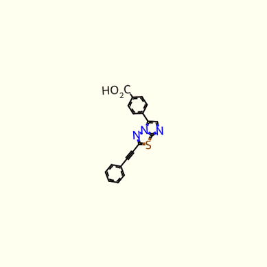 O=C(O)c1ccc(-c2cnc3sc(C#Cc4ccccc4)nn23)cc1